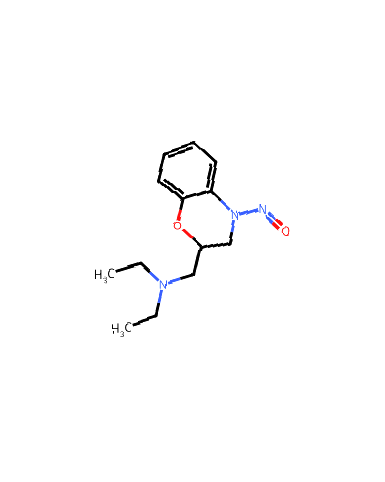 CCN(CC)CC1CN(N=O)c2ccccc2O1